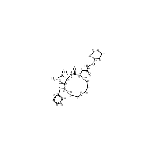 CC(C)[C@@H]1NC(=O)[C@@H](CC(=O)NOC2CCCCO2)CCCCCCCCN(Cc2cccnc2)C1=O